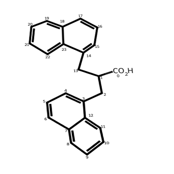 O=C(O)C(Cc1cccc2ccccc12)Cc1cccc2ccccc12